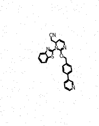 N#CCC1C=CN=C(OCc2ccc(-c3cccnc3)cc2)N1c1nc2ccccc2s1